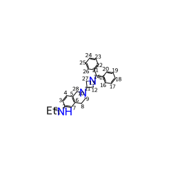 CCNc1ccc2c(c1)CCN(C1CN(C(c3ccccc3)c3ccccc3)C1)C2